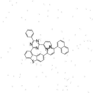 c1ccc(-c2nc(-c3ccccc3)nc(-c3cccc4sc5ccc(-c6ccc(-c7cccc8ccccc78)nn6)cc5c34)n2)cc1